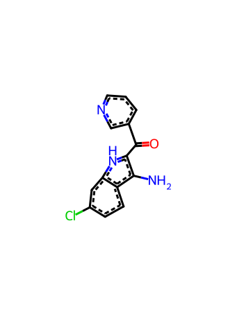 Nc1c(C(=O)c2cccnc2)[nH]c2cc(Cl)ccc12